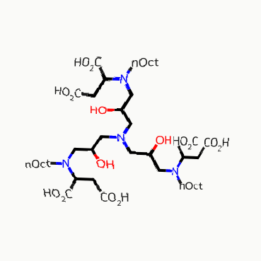 CCCCCCCCN(CC(O)CN(CC(O)CN(CCCCCCCC)C(CC(=O)O)C(=O)O)CC(O)CN(CCCCCCCC)C(CC(=O)O)C(=O)O)C(CC(=O)O)C(=O)O